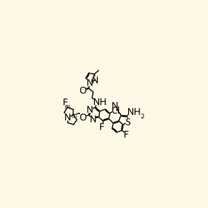 Cc1ccn(C(=O)CCNc2nc(OC[C@@]34CCCN3C[C@H](F)C4)nc3c(F)c(-c4ccc(F)c5sc(N)c(C#N)c45)c(Cl)cc23)n1